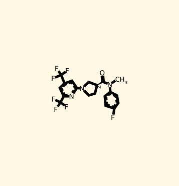 CN(C(=O)[C@H]1CCN(c2cc(C(F)(F)F)cc(C(F)(F)F)n2)C1)c1ccc(F)cc1